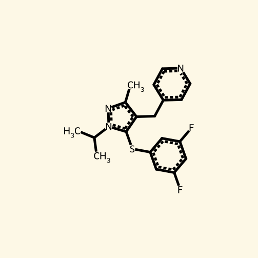 Cc1nn(C(C)C)c(Sc2cc(F)cc(F)c2)c1Cc1ccncc1